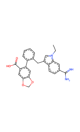 CCn1cc(Cc2ccccc2-c2cc3c(cc2C(=O)O)OCO3)c2ccc(C(=N)N)cc21